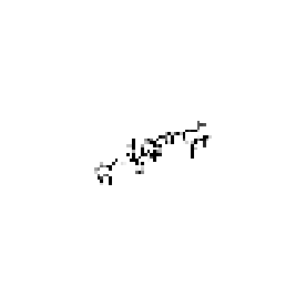 O=C(NCCC1CCCOC1)C1=NOC(COCc2cc(F)c(F)c(F)c2)=CC1